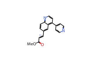 COC(=O)/C=C/c1ccc2nccc(-c3ccncc3)c2c1